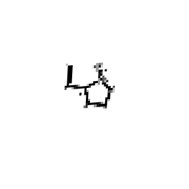 C=CC1CCCN1CC